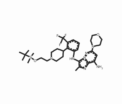 Cc1nc2c(N)cc(N3CCOCC3)nn2c1Nc1cccc(C(F)(F)F)c1C1CCN(CCO[Si](C)(C)C(C)(C)C)CC1